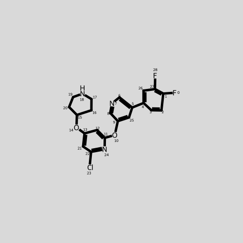 Fc1ccc(-c2cncc(Oc3cc(OC4CCNCC4)cc(Cl)n3)c2)cc1F